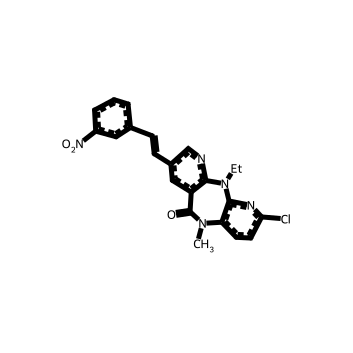 CCN1c2ncc(C=Cc3cccc([N+](=O)[O-])c3)cc2C(=O)N(C)c2ccc(Cl)nc21